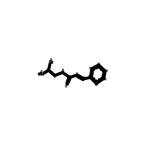 CCCCC(CC)COC(=O)/C=C/c1ccccc1